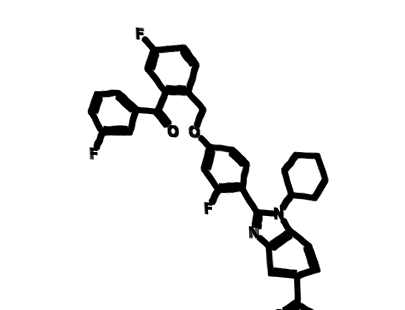 O=C(O)c1ccc2c(c1)nc(-c1ccc(OCc3ccc(F)cc3C(=O)c3cccc(F)c3)cc1F)n2C1CCCCC1